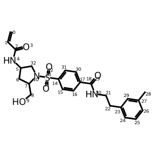 C=CC(=O)NC1CC(CO)N(S(=O)(=O)c2ccc(C(=O)NCCc3cccc(C)c3)cc2)C1